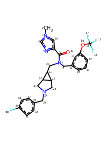 Cn1cnc(C(=O)N(Cc2cccc(OC(F)(F)F)c2)CC2C3CN(Cc4ccc(F)cc4)CC32)c1